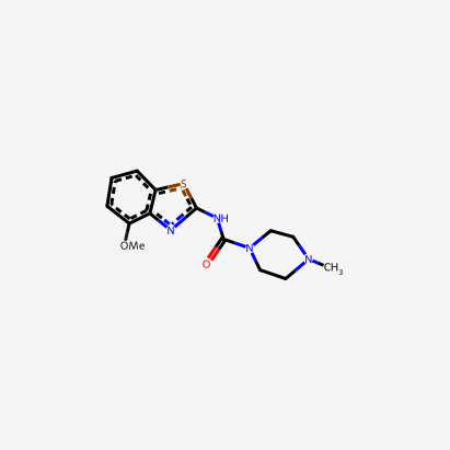 COc1cccc2sc(NC(=O)N3CCN(C)CC3)nc12